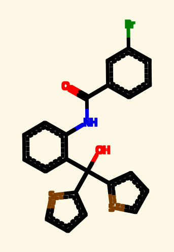 O=C(Nc1ccccc1C(O)(c1cccs1)c1cccs1)c1cccc(Br)c1